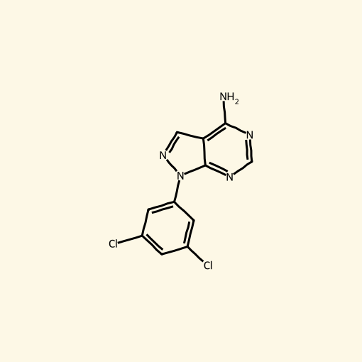 Nc1ncnc2c1cnn2-c1cc(Cl)cc(Cl)c1